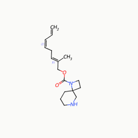 C=C/C=C\C/C=C(\C)COC(=O)N1CCC12CCCNC2